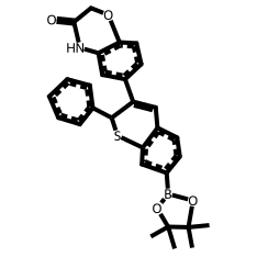 CC1(C)OB(c2ccc3c(c2)SC(c2ccccc2)C(c2ccc4c(c2)NC(=O)CO4)=C3)OC1(C)C